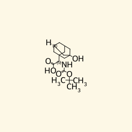 CC(C)(C)OC(=O)N[C@H](C(=O)O)C12CC3C[C@@H](CC(O)(C3)C1)C2